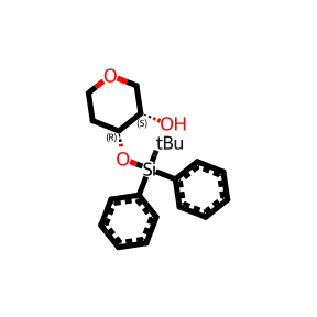 CC(C)(C)[Si](O[C@@H]1CCOC[C@@H]1O)(c1ccccc1)c1ccccc1